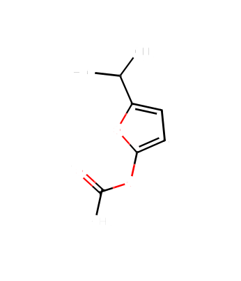 CC(=O)Oc1ccc(C(C)C)o1